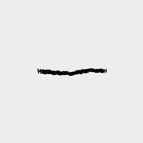 OCOCCOCOCCOCOCCOOCCOCOCCOCOCCOCOCCOOCCOCOCCOCOCCOCOCCOO